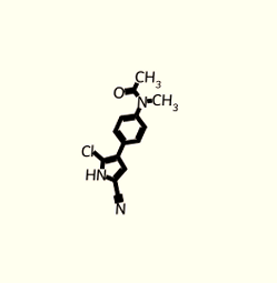 CC(=O)N(C)c1ccc(-c2cc(C#N)[nH]c2Cl)cc1